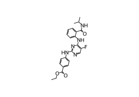 CCOC(=O)c1ccc(Nc2ncc(F)c(Nc3ccccc3C(=O)NC(C)C)n2)cc1